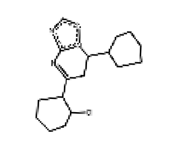 OC1CCCCC1C1=Nc2ncnn2C(C2CCCCC2)C1